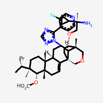 CC(C)[C@@H](C)[C@@]1(C)CC[C@]2(C)[C@H]3CC[C@@H]4[C@@]5(COC[C@@]4(C)[C@@H](OC[C@](C)(N)C4CC4)[C@H](n4ncnc4-c4ccncc4F)C5)C3=CC[C@]2(C)[C@@H]1OC(=O)O